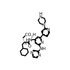 O=C(O)C[C@@H](CC1CCCCC1)C(=O)Nc1cc(Nc2cnccn2)nc(-c2ccnc(N3CCNCC3)c2)c1